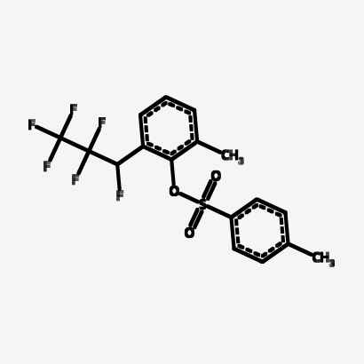 Cc1ccc(S(=O)(=O)Oc2c(C)cccc2C(F)C(F)(F)C(F)(F)F)cc1